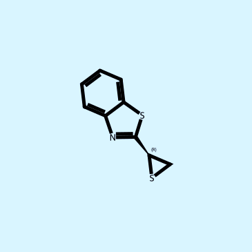 c1ccc2sc([C@H]3CS3)nc2c1